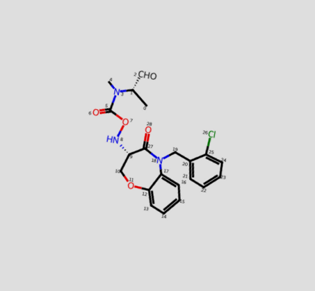 C[C@@H](C=O)N(C)C(=O)ON[C@H]1COc2ccccc2N(Cc2ccccc2Cl)C1=O